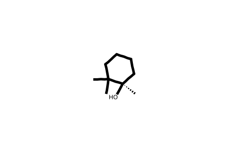 CC1(C)CCCC[C@@]1(C)O